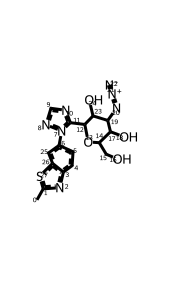 Cc1nc2ccc(-n3ncnc3C3OC(CO)C(O)C(N=[N+]=[N-])C3O)cc2s1